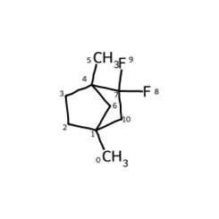 CC12CCC(C)(C1)C(F)(F)C2